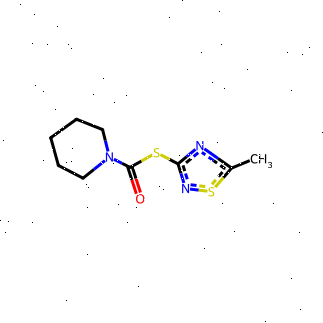 Cc1nc(SC(=O)N2CCCCC2)ns1